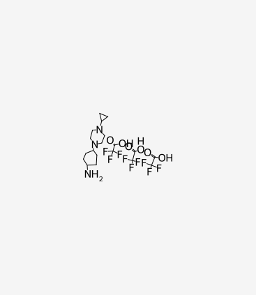 NC1CCC(N2CCN(C3CC3)CC2)CC1.O=C(O)C(F)(F)F.O=C(O)C(F)(F)F.O=C(O)C(F)(F)F